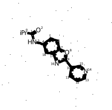 CC(C)C(=O)Nc1ccc2oc(-c3cccnc3)nc2c1